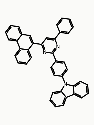 c1ccc(-c2cc(-c3cc4ccccc4c4ccccc34)nc(-c3ccc(-n4c5ccccc5c5ccccc54)cc3)n2)cc1